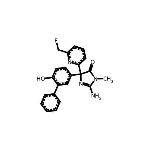 CN1C(=O)C(c2ccc(O)c(-c3ccccc3)c2)(c2cccc(CF)n2)N=C1N